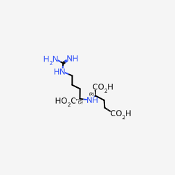 N=C(N)NCCC[C@H](N[C@H](CCC(=O)O)C(=O)O)C(=O)O